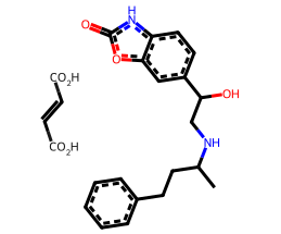 CC(CCc1ccccc1)NCC(O)c1ccc2[nH]c(=O)oc2c1.O=C(O)C=CC(=O)O